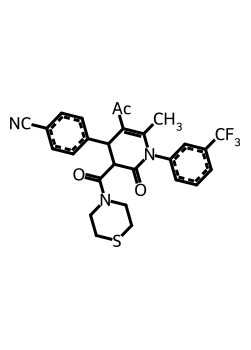 CC(=O)C1=C(C)N(c2cccc(C(F)(F)F)c2)C(=O)C(C(=O)N2CCSCC2)C1c1ccc(C#N)cc1